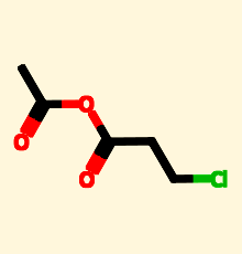 CC(=O)OC(=O)CCCl